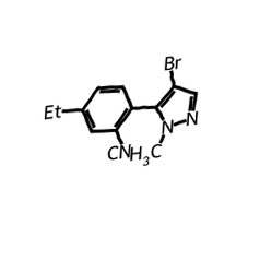 CCc1ccc(-c2c(Br)cnn2C)c(C#N)c1